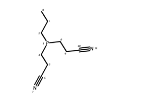 CCCP(CCC#N)CCC#N